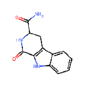 NC(=O)C1Cc2c([nH]c3cc[c]cc23)C(=O)N1